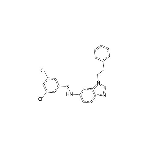 Clc1cc(Cl)cc(SNc2ccc3ncn(CCc4ccccc4)c3c2)c1